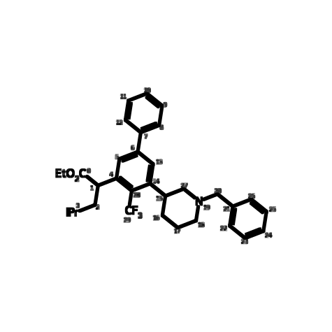 CCOC(=O)C(CC(C)C)c1cc(-c2ccccc2)cc(C2CCCN(Cc3ccccc3)C2)c1C(F)(F)F